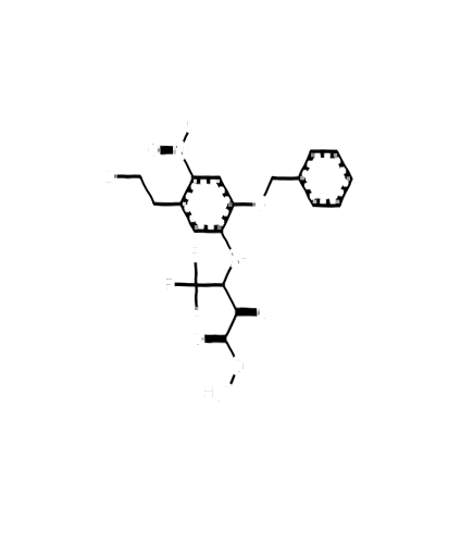 COC(=O)C(=O)C(Nc1cc(CCCl)c([N+](=O)[O-])cc1OCc1ccccc1)C(F)(F)F